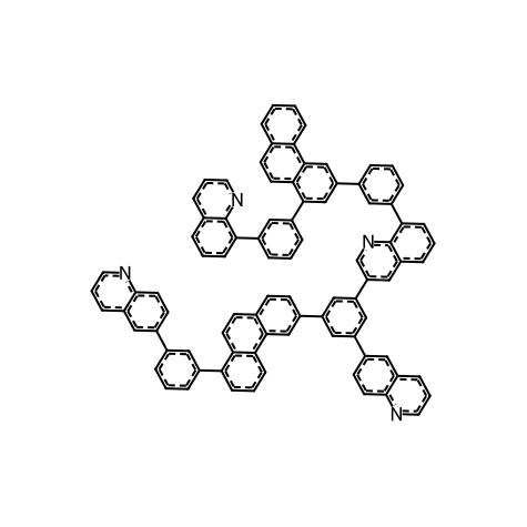 c1cc(-c2ccc3ncccc3c2)cc(-c2cccc3c2ccc2ccc(-c4cc(-c5ccc6ncccc6c5)cc(-c5cnc6c(-c7cccc(-c8cc(-c9cccc(-c%10cccc%11cccnc%10%11)c9)c9ccc%10ccccc%10c9c8)c7)cccc6c5)c4)cc23)c1